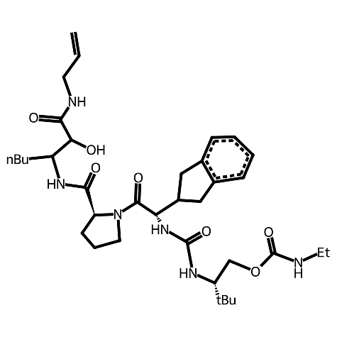 C=CCNC(=O)C(O)C(CCCC)NC(=O)[C@@H]1CCCN1C(=O)[C@@H](NC(=O)N[C@H](COC(=O)NCC)C(C)(C)C)C1Cc2ccccc2C1